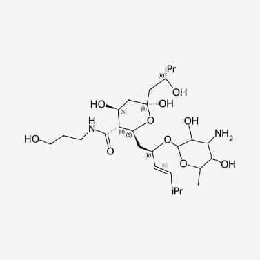 CC(C)/C=C/[C@@H](C[C@@H]1O[C@](O)(C[C@@H](O)C(C)C)C[C@H](O)[C@H]1C(=O)NCCCO)OC1OC(C)C(O)C(N)C1O